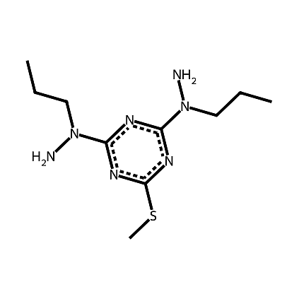 CCCN(N)c1nc(SC)nc(N(N)CCC)n1